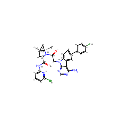 Nc1ncnc2c1c1cc(-c3ccc(F)cc3)ccc1n2CC(=O)N1[C@@H]2C[C@@H]2C[C@H]1C(=O)Nc1cccc(Br)n1